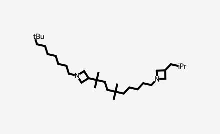 CC(C)CC1CN(CCCCCC(C)(C)CCC(C)(C)C2CN(CCCCCCCC(C)(C)C)C2)C1